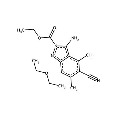 CCOC(=O)n1nc2cc(C)c(C#N)c(C)c2c1N.CCOCC